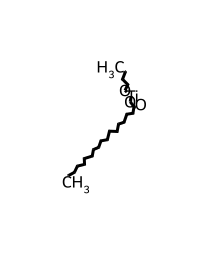 CCCCCCCCCCCCCCCCCC(=O)[O][Ti][O]CCCC